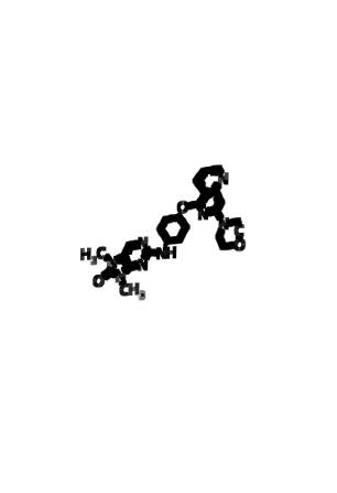 Cn1c(=O)n(C)c2nc(N[C@H]3CC[C@@H](Oc4nc(N5CCOCC5)cc5ncccc45)CC3)ncc21